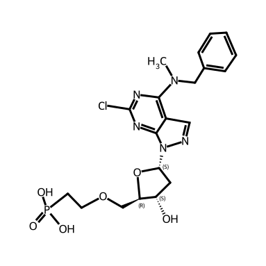 CN(Cc1ccccc1)c1nc(Cl)nc2c1cnn2[C@@H]1C[C@H](O)[C@@H](COCCP(=O)(O)O)O1